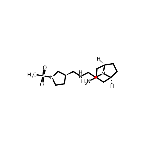 CS(=O)(=O)N1CC[C@H](CNCCN2[C@@H]3CC[C@H]2CC(N)C3)C1